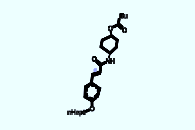 CCCCCCCOc1ccc(/C=C/C(=O)N[C@H]2CC[C@H](OC(=O)C(C)CC)CC2)cc1